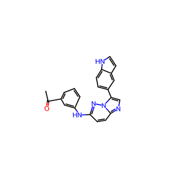 CC(=O)c1cccc(Nc2ccc3ncc(-c4ccc5[nH]ccc5c4)n3n2)c1